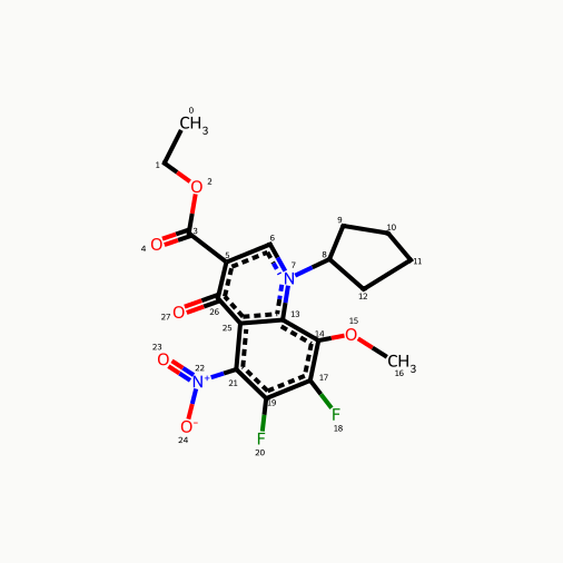 CCOC(=O)c1cn(C2CCCC2)c2c(OC)c(F)c(F)c([N+](=O)[O-])c2c1=O